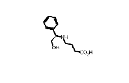 O=C(O)CCCN[C@@H](CO)c1ccccc1